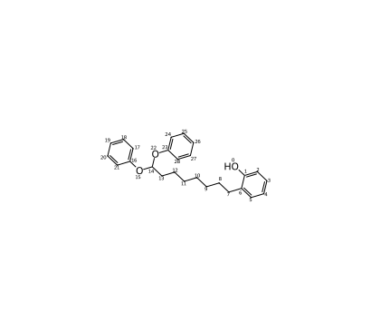 Oc1ccccc1CCCCCCCC(Oc1ccccc1)Oc1ccccc1